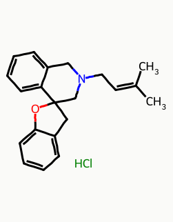 CC(C)=CCN1Cc2ccccc2C2(Cc3ccccc3O2)C1.Cl